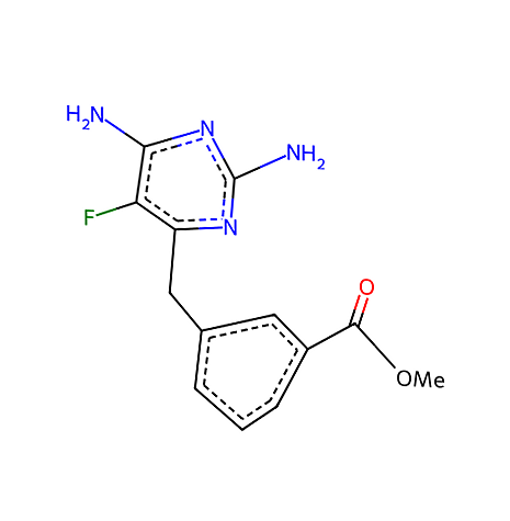 COC(=O)c1cccc(Cc2nc(N)nc(N)c2F)c1